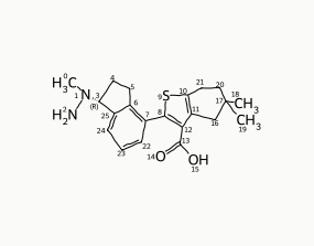 CN(N)[C@@H]1CCc2c(-c3sc4c(c3C(=O)O)CC(C)(C)CC4)cccc21